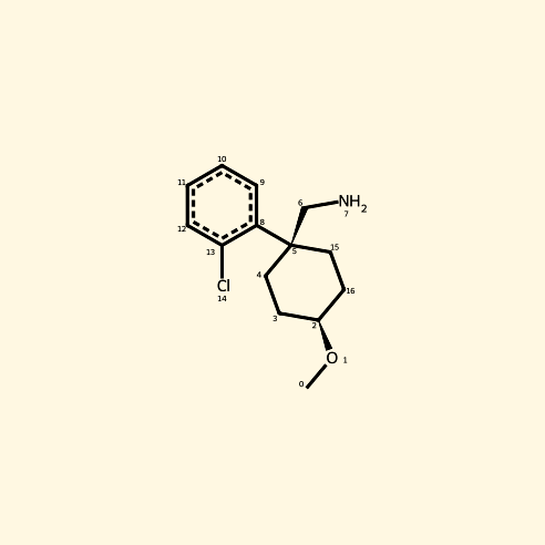 CO[C@H]1CC[C@](CN)(c2ccccc2Cl)CC1